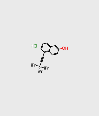 CC(C)[Si](C#Cc1cccc2cc(O)ccc12)(C(C)C)C(C)C.Cl